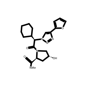 CNC(=O)[C@@H]1C[C@@H](O)CN1C(=O)[C@@H](C1CCCCC1)n1cc(-c2ccco2)nn1